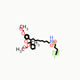 COCOc1ccc2c(c1)OCC(C)(C1(OCOC)C=CC=CC1)C2CCCCCCCCNS(=O)(=O)CCCC(F)(F)C(F)(F)F